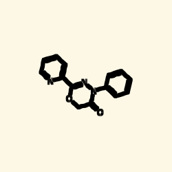 O=C1COC(c2ccccn2)=NN1c1ccccc1